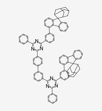 c1ccc(-c2nc(-c3ccc(-c4cccc(-c5nc(-c6ccccc6)nc(-c6cccc(-c7cccc8c7C7(c9ccccc9-8)C8CC9CC(C8)CC7C9)c6)n5)c4)cc3)nc(-c3cccc(-c4cccc5c4-c4ccccc4C54C5CC6CC(C5)CC4C6)c3)n2)cc1